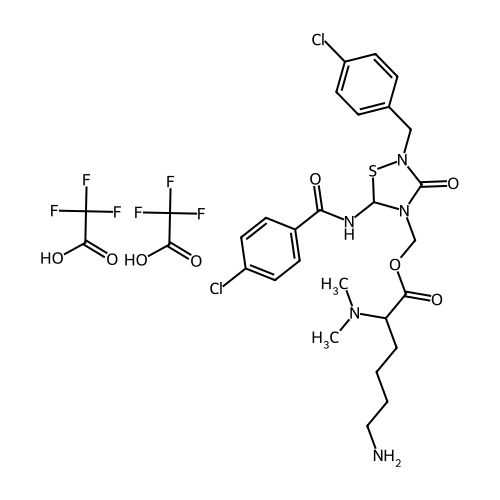 CN(C)C(CCCCN)C(=O)OCN1C(=O)N(Cc2ccc(Cl)cc2)SC1NC(=O)c1ccc(Cl)cc1.O=C(O)C(F)(F)F.O=C(O)C(F)(F)F